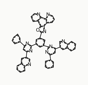 c1ccc(-c2cc(-c3cnc4ccccc4c3)nc(-c3cc(-c4nc(-c5ccccc5)cc(-c5cnc6ccccc6c5)n4)cc(-c4nc5c6cccnc6c6ncccc6c5o4)c3)n2)cc1